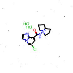 Cl.Cl.O=C(N[N+]12CCCC1CCC2)c1cc(Cl)cn2ccnc12